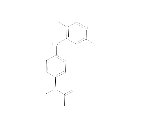 CC(=O)N(C)c1ccc(Nc2nc(Cl)ncc2F)cc1